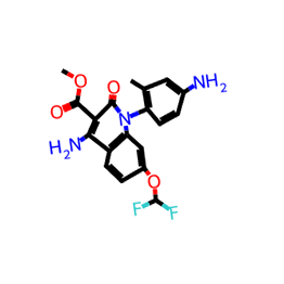 COC(=O)c1c(N)c2ccc(OC(F)F)cc2n(-c2ccc(N)cc2C)c1=O